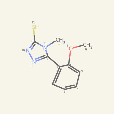 COc1ccccc1-c1nnc(S)n1C